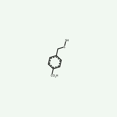 O=C(O)c1ccc(CSS)cc1